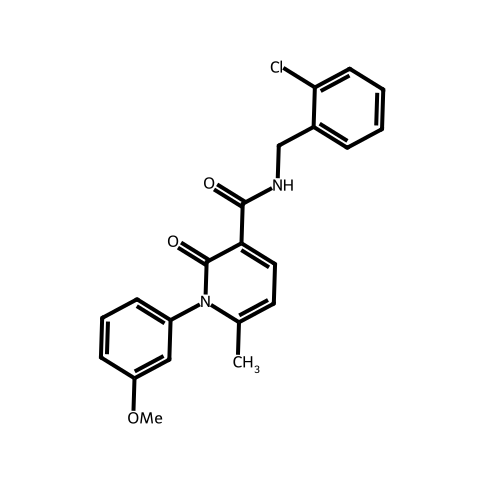 COc1cccc(-n2c(C)ccc(C(=O)NCc3ccccc3Cl)c2=O)c1